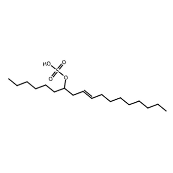 CCCCCCCC/C=C/CC(CCCCCC)OS(=O)(=O)O